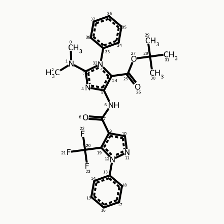 CN(C)c1nc(NC(=O)c2cnn(-c3ccccc3)c2C(F)(F)F)c(C(=O)OC(C)(C)C)n1-c1ccccc1